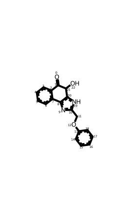 O=C1c2ccccc2-c2nc(COc3ccccc3)[nH]c2C1O